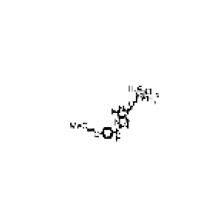 COCCOc1ccc(Nc2ncc3c(n2)c(I)nn3COCC[Si](C)(C)C)cc1